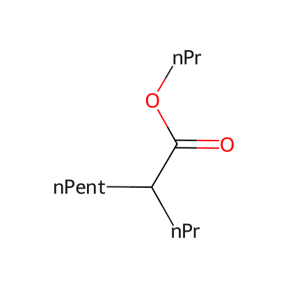 CCCCCC(CCC)C(=O)OCCC